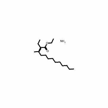 CCCCCCCCCCC(C)=C(CC)C(=O)OCC.N